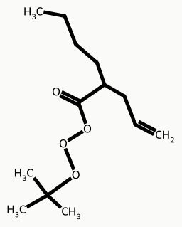 C=CCC(CCCC)C(=O)OOOC(C)(C)C